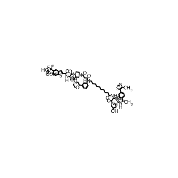 Cc1ncsc1-c1ccc([C@H](C)NC(=O)[C@@H]2C[C@@H](O)CN2C(=O)C(NC(=O)CCCCCCCCCNC(=O)CC(=O)N2CCN(C(=O)C(NC(=O)c3cc4cc(C(F)(F)P(=O)(O)O)ccc4s3)C(C)(C)C)C(C(=O)N3CCOC(c4ccccc4)C3)C2)C(C)(C)C)cc1